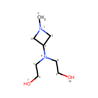 CN1CC(N(CCO)CCO)C1